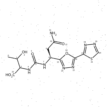 CC(O)C(NC(=O)N[C@@H](CC(N)=O)c1nnc(-c2nncs2)o1)C(=O)O